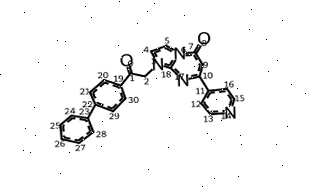 O=C(Cn1ccn2c(=O)cc(-c3ccncc3)nc12)c1ccc(-c2ccccc2)cc1